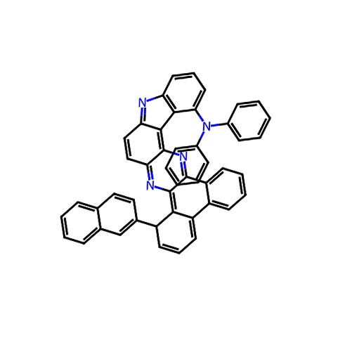 C1=CC(c2ccc3ccccc3c2)c2c(c3ccccc3c3nc4c5c(ccc4nc23)=Nc2cccc(N(c3ccccc3)c3ccccc3)c2-5)=C1